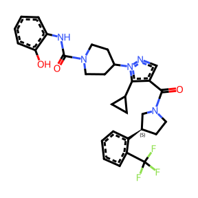 O=C(Nc1ccccc1O)N1CCC(n2ncc(C(=O)N3CC[C@@H](c4ccccc4C(F)(F)F)C3)c2C2CC2)CC1